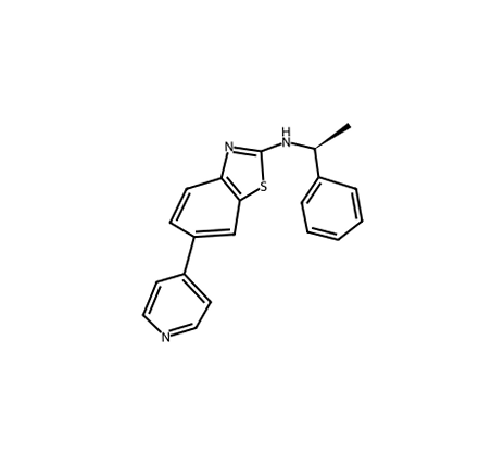 C[C@H](Nc1nc2ccc(-c3ccncc3)cc2s1)c1ccccc1